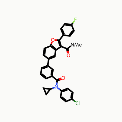 CNC(=O)c1c(-c2ccc(F)cc2)oc2ccc(-c3cccc(C(=O)N(c4ccc(Cl)cc4)C4CC4)c3)cc12